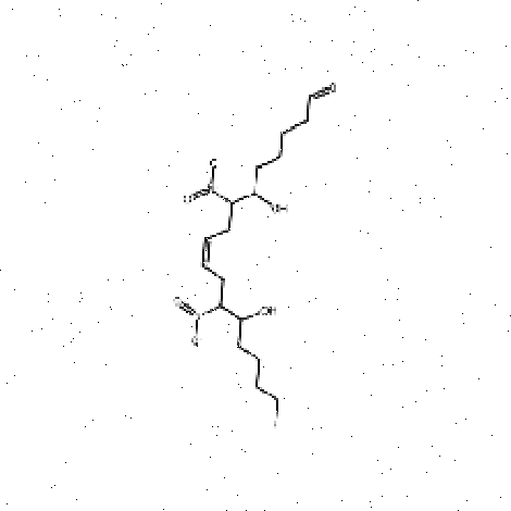 CCCCCC(O)C(C/C=C\CC(C(O)CCCC[C]=O)[N+](=O)[O-])[N+](=O)[O-]